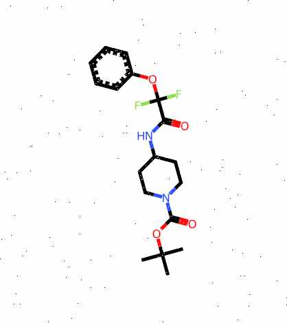 CC(C)(C)OC(=O)N1CCC(NC(=O)C(F)(F)Oc2ccccc2)CC1